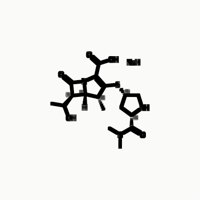 CC(O)[C@H]1C(=O)N2C(C(=O)O)=C(S[C@@H]3CN[C@H](C(=O)N(C)C)C3)[C@H](C)[C@H]12.[NaH]